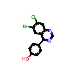 Oc1ccc(-c2ncnc3cc(Cl)c(Br)cc23)cc1